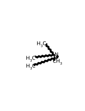 CCCCCCCCCCCCC(C)n1ccnc1C(CCCCCCCC)CCCCCCCCCCC